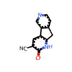 N#Cc1cc2c([nH]c1=O)Cc1ccncc1-2